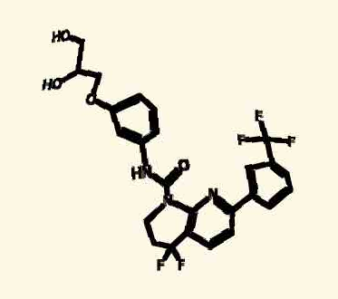 O=C(Nc1cccc(OCC(O)CO)c1)N1CCC(F)(F)c2ccc(-c3cccc(C(F)(F)F)c3)nc21